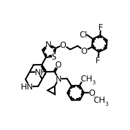 COc1cccc(CN(C(=O)C2=C(c3cnc(OCCOc4c(F)ccc(F)c4Cl)s3)CC3CNCC2N3)C2CC2)c1C